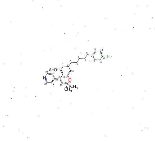 CC(=O)Oc1cc(CCCCCc2ccc(F)cc2)cc2c1C(c1ccncc1)=CC(C)(C)O2